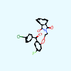 O=C(c1ccc(Cl)cc1)c1cc(F)ccc1OCCN1C(=O)c2ccccc2C1=O